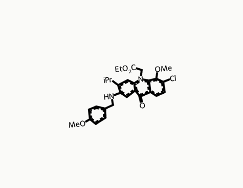 CCOC(=O)Cn1c2cc(C(C)C)c(NCc3ccc(OC)cc3)cc2c(=O)c2ccc(Cl)c(OC)c21